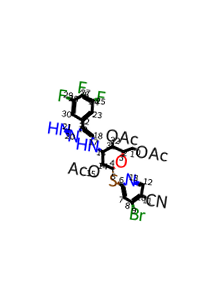 CC(=O)OCC1O[C@H](Sc2cc(Br)c(C#N)cn2)C(OC(C)=O)C(N/C=C(\N=N)c2cc(F)c(F)c(F)c2)[C@H]1OC(C)=O